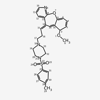 COC1C=CC=C2Oc3ncccc3C(=CCCN3CCN(S(=O)(=O)c4ccc(C)cc4)CC3)C=C21